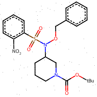 CC(C)(C)OC(=O)N1CCCC(N(OCc2ccccc2)S(=O)(=O)c2ccccc2[N+](=O)[O-])C1